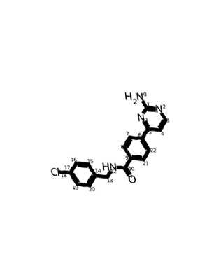 Nc1nccc(-c2ccc(C(=O)NCc3ccc(Cl)cc3)cc2)n1